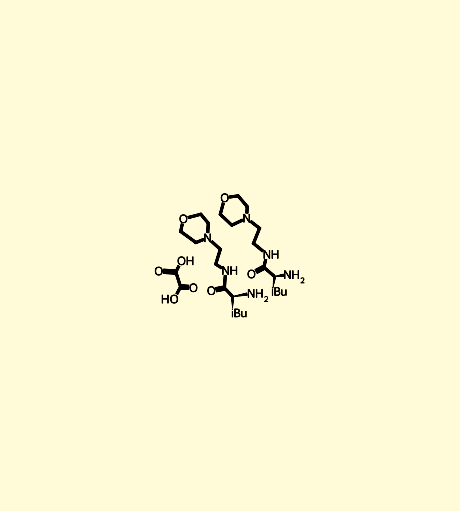 CC[C@H](C)[C@H](N)C(=O)NCCN1CCOCC1.CC[C@H](C)[C@H](N)C(=O)NCCN1CCOCC1.O=C(O)C(=O)O